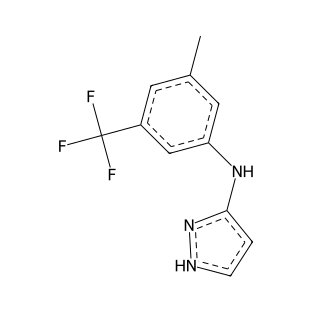 Cc1cc(Nc2cc[nH]n2)cc(C(F)(F)F)c1